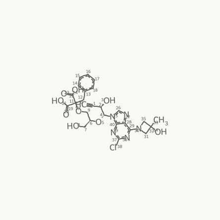 C#C[C@@H](O)[C@@H](O[C@@H](CO)COC(Cc1ccccc1)(C(=O)O)C(=O)O)n1cnc2c(N3CC(C)(O)C3)nc(Cl)nc21